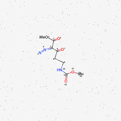 COC(=O)C(=[N+]=[N-])C(=O)CCNC(=O)OC(C)(C)C